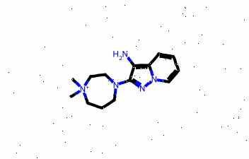 C[N+]1(C)CCCN(c2nn3ccccc3c2N)CC1